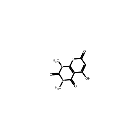 Cn1c(=O)c2c(O)cc(=O)sc2n(C)c1=O